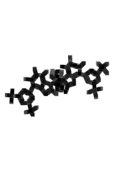 C[CH2][Zr]([Cl])([Cl])([CH]1C(C)=Cc2c(-c3cc(C(C)(C)C)cc(C(C)(C)C)c3)c(C)c(C)c(C)c21)[CH]1C(C)=Cc2c(-c3cc(C(C)(C)C)cc(C(C)(C)C)c3)c(C)c(C)c(C)c21